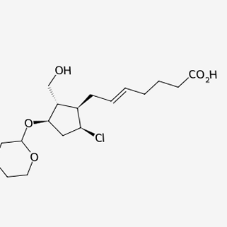 O=C(O)CCCC=CC[C@@H]1[C@@H](CO)[C@H](OC2CCCCO2)C[C@@H]1Cl